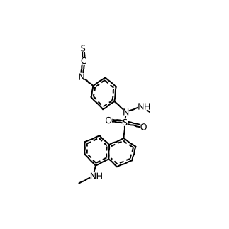 CNc1cccc2c(S(=O)(=O)N(NC)c3ccc(N=C=S)cc3)cccc12